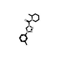 Cc1cccc(N2CN(C(=O)N3CCCCC3C)N=N2)c1